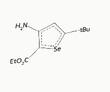 CCOC(=O)c1[se]c(C(C)(C)C)cc1N